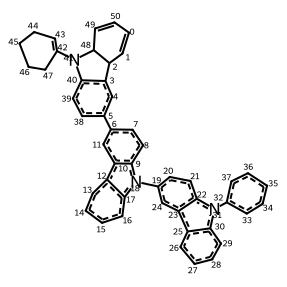 C1=CC2c3cc(-c4ccc5c(c4)c4ccccc4n5-c4ccc5c(c4)c4ccccc4n5-c4ccccc4)ccc3N(C3=CCCCC3)C2C=C1